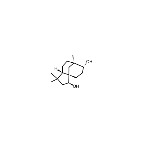 CC1(C)C[C@H](O)[C@]23CC[C@@H](O)[C@](C)(CC[C@@H]12)C3